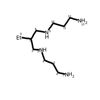 CCC(CNCCCN)CNCCCN